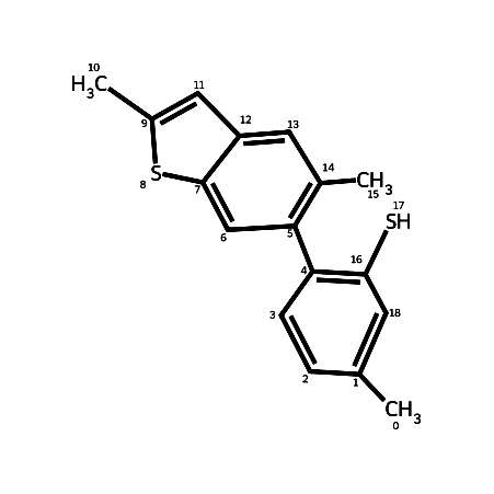 Cc1ccc(-c2cc3sc(C)cc3cc2C)c(S)c1